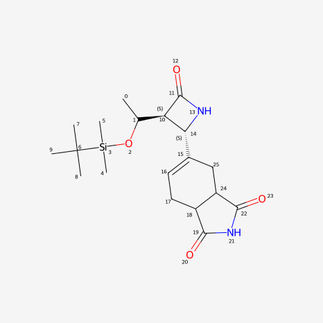 CC(O[Si](C)(C)C(C)(C)C)[C@H]1C(=O)N[C@@H]1C1=CCC2C(=O)NC(=O)C2C1